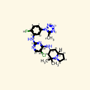 Cc1nnnn1-c1ccc(F)c(Nc2ncc(Cl)c(N[C@@H]3C[C@@H]4CCCN4C(C)(C)C3)n2)c1